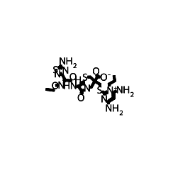 CCC[n+]1c(N)cc(N)nc1SCC1(C(=O)[O-])CS[C@@H]2C(NC(=O)C(=NOCC)c3nsc(N)n3)C(=O)N2C1